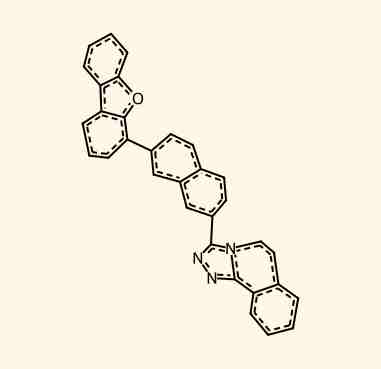 c1ccc2c(c1)ccn1c(-c3ccc4ccc(-c5cccc6c5oc5ccccc56)cc4c3)nnc21